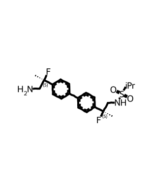 CC(C)S(=O)(=O)NC[C@@](C)(F)c1ccc(-c2ccc([C@](C)(F)CN)cc2)cc1